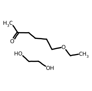 CCOCCCCC(C)=O.OCCO